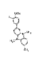 COc1ccc(-c2ccc3c(c2)N(C)c2ccc(C)cc2N3C)cc1F